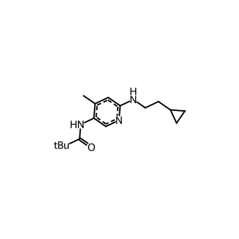 Cc1cc(NCCC2CC2)ncc1NC(=O)C(C)(C)C